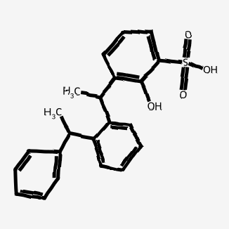 CC(c1ccccc1)c1ccccc1C(C)c1cccc(S(=O)(=O)O)c1O